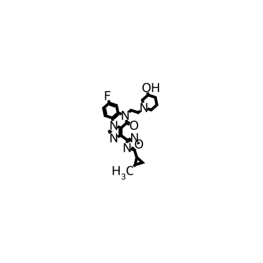 CC1CC1c1nc(-c2ncn3c2c(=O)n(CCN2CCCC(O)C2)c2cc(F)ccc23)no1